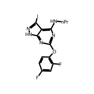 CCCNc1nc(Oc2ccc(F)cc2F)nc2[nH]nc(I)c12